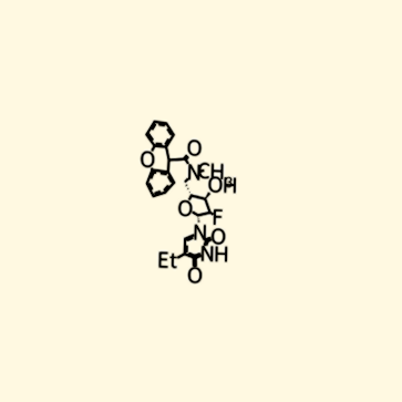 CCc1cn([C@@H]2O[C@H](CN(C)C(=O)C3c4ccccc4Oc4ccccc43)[C@@H](O)[C@H]2F)c(=O)[nH]c1=O